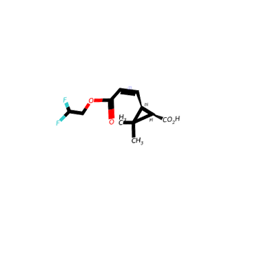 CC1(C)[C@H](C(=O)O)[C@@H]1/C=C\C(=O)OCC(F)F